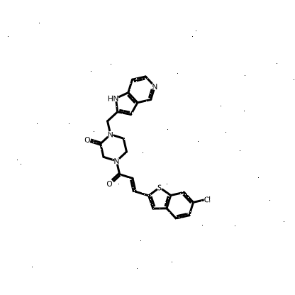 O=C(C=Cc1cc2ccc(Cl)cc2s1)N1CCN(Cc2cc3cnccc3[nH]2)C(=O)C1